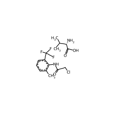 CC(C)[C@H](N)C(=O)O.Cc1cccc(C(F)(F)F)c1NC(=O)CCl